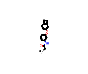 C=CC(=O)Nc1cccc(Oc2ccc3c(c2)CC3)c1